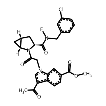 COC(=O)c1ccc2c(C(C)=O)cn(CC(=O)N3[C@@H]4C[C@@H]4C[C@H]3C(=O)N(F)Cc3cccc(Cl)c3)c2c1